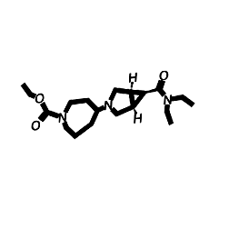 CCOC(=O)N1CCCC(N2C[C@@H]3[C@H](C2)[C@@H]3C(=O)N(CC)CC)CC1